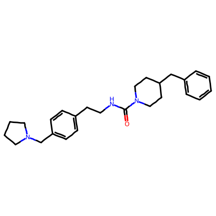 O=C(NCCc1ccc(CN2CCCC2)cc1)N1CCC(Cc2ccccc2)CC1